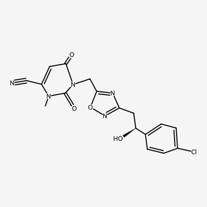 Cn1c(C#N)cc(=O)n(Cc2nc(C[C@H](O)c3ccc(Cl)cc3)no2)c1=O